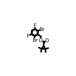 CC1(C)C(C(=O)OCc2c(Br)c(F)cc(F)c2Br)C1(C)C